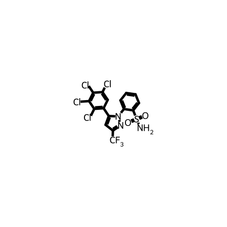 NS(=O)(=O)c1ccccc1-n1nc(C(F)(F)F)cc1-c1cc(Cl)c(Cl)c(Cl)c1Cl